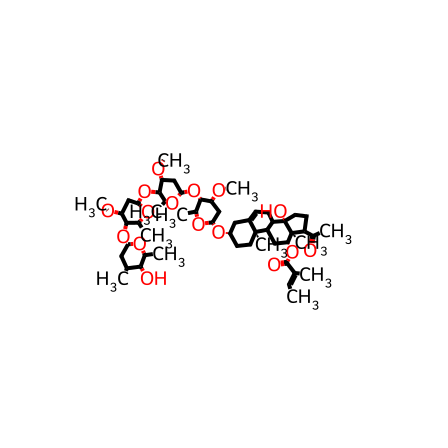 C/C=C(\C)C(=O)O[C@@H]1CC2C(CC=C3C[C@@H](OC4CC(OC)C(OC5CC(OC)C(OC6CC(OC)C(OC7CC(C)C(O)C(C)O7)C(C)O6)C(C)O5)C(C)O4)CC[C@@]32C)[C@@]2(O)CCC(C(C)=O)[C@@]12C